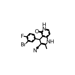 CC1=C(C#N)C(c2ccc(F)c(Br)c2)c2c(cc[nH]c2=O)N1